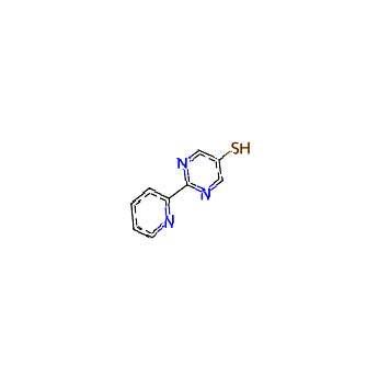 Sc1cnc(-c2ccccn2)nc1